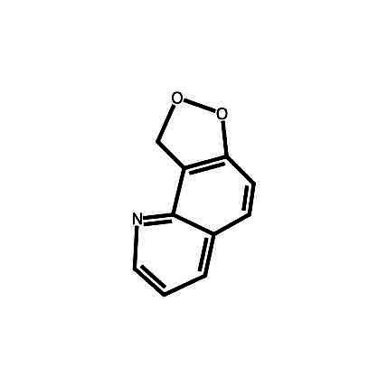 c1cnc2c3c(ccc2c1)OOC3